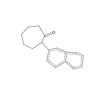 O=C1CCCCCC1c1ccc2ccccc2c1